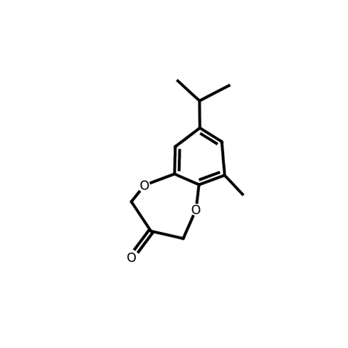 Cc1cc(C(C)C)cc2c1OCC(=O)CO2